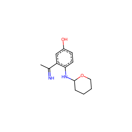 CC(=N)c1cc(O)ccc1NC1CCCCO1